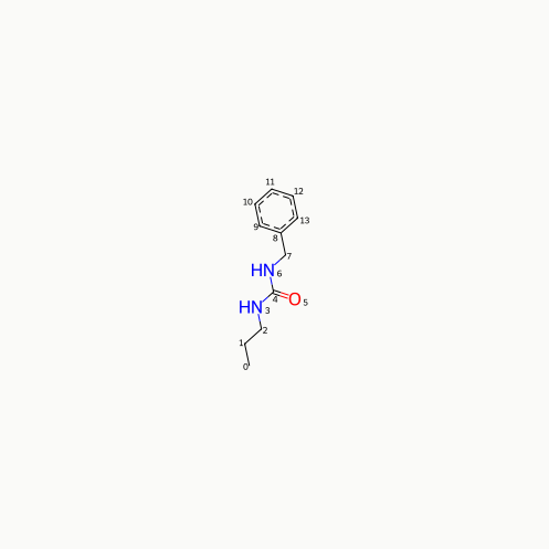 CCCNC(=O)NCc1ccccc1